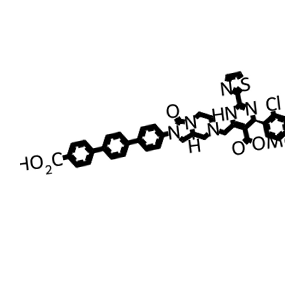 COC(=O)C1=C(CN2CCN3C(=O)N(c4ccc(-c5ccc(-c6ccc(C(=O)O)cc6)cc5)cc4)C[C@@H]3C2)NC(c2nccs2)=N[C@H]1c1ccc(F)cc1Cl